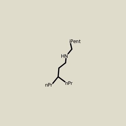 CCCC(C)CNCCC(CCC)CCC